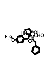 O=CN(OCc1ccccc1)[C@]1(C(=O)c2ccc(OC(F)(F)F)cc2)NCC[C@H]1O